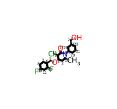 Cc1cc(OCc2ccc(F)cc2F)c(Cl)c(=O)n1-c1cccc(CO)c1